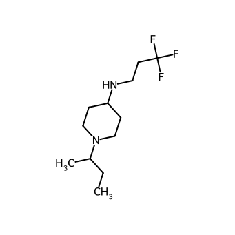 CCC(C)N1CCC(NCCC(F)(F)F)CC1